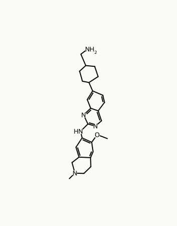 COc1cc2c(cc1Nc1ncc3ccc(C4CCC(CN)CC4)cc3n1)CN(C)CC2